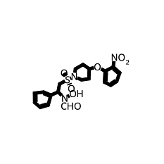 O=CN(O)C(CS(=O)(=O)N1CCC(Oc2ccccc2[N+](=O)[O-])CC1)c1ccccc1